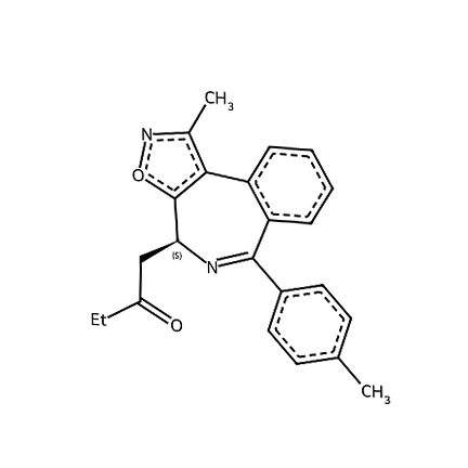 CCC(=O)C[C@@H]1N=C(c2ccc(C)cc2)c2ccccc2-c2c(C)noc21